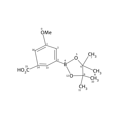 COc1cc(B2OC(C)(C)C(C)(C)O2)cc(C(=O)O)c1